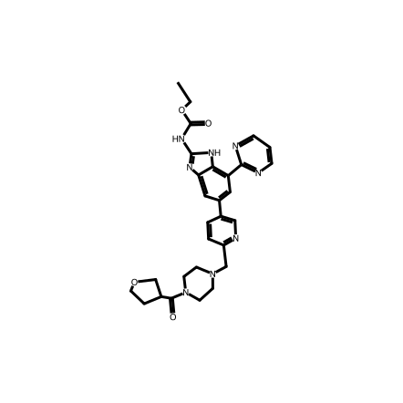 CCOC(=O)Nc1nc2cc(-c3ccc(CN4CCN(C(=O)C5CCOC5)CC4)nc3)cc(-c3ncccn3)c2[nH]1